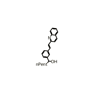 CCCCCC(O)c1cccc(/C=C/c2ccc3ccccc3n2)c1